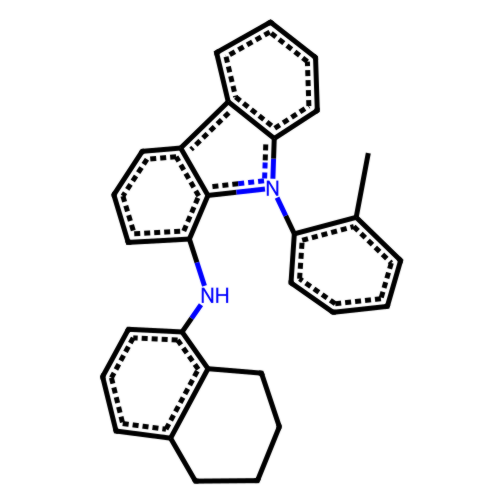 Cc1ccccc1-n1c2ccccc2c2cccc(Nc3cccc4c3CCCC4)c21